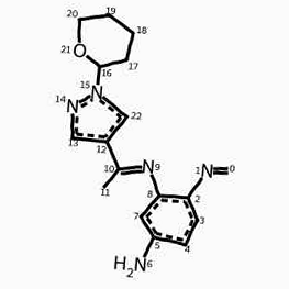 C=Nc1ccc(N)cc1/N=C(\C)c1cnn(C2CCCCO2)c1